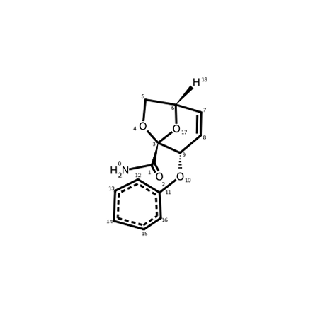 NC(=O)[C@]12OC[C@H](C=C[C@@H]1Oc1ccccc1)O2